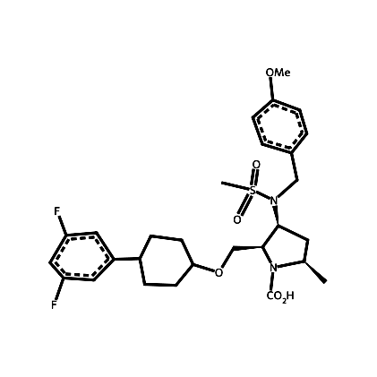 COc1ccc(CN([C@H]2C[C@@H](C)N(C(=O)O)[C@H]2COC2CCC(c3cc(F)cc(F)c3)CC2)S(C)(=O)=O)cc1